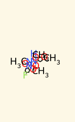 COC(=O)c1c(NCc2ccc(OC)cc2OC)nc(OC)n1-c1ccc(F)cc1